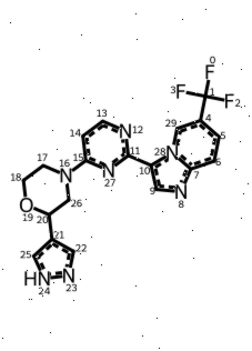 FC(F)(F)c1ccc2ncc(-c3nccc(N4CCOC(c5cn[nH]c5)C4)n3)n2c1